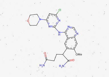 COc1cc2ncnc(Nc3nc(Cl)cc(N4CCOCC4)n3)c2cc1C(CCC(N)=O)C(N)=O